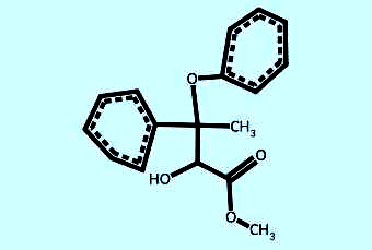 COC(=O)C(O)C(C)(Oc1ccccc1)c1ccccc1